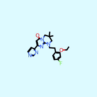 CCOc1cc(F)ccc1CCN1CC(C)(C)Cn2c1nc(-c1ccncn1)cc2=O